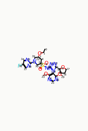 CCO[C@H]1C[C@@H](S(=O)(=O)Nc2nnc([C@@H]3CCCO3)n2-c2c(OC)ncnc2OC)CN(c2ncc(F)cn2)C1